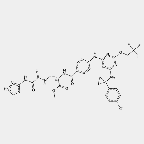 COC(=O)[C@H](CNC(=O)C(=O)Nc1cc[nH]n1)NC(=O)c1ccc(Nc2nc(NC3(c4ccc(Cl)cc4)CC3)nc(OCC(F)(F)F)n2)cc1